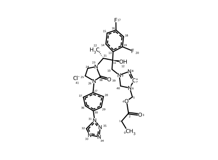 CCC(=O)OCN1[C+]=NN(C[C@@](O)(c2ccc(F)cc2F)[C@@H](C)N2CCN(c3ccc(-n4cnnn4)cc3)C2=O)C1.[Cl-]